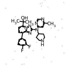 Cc1cc(N(c2nc3c(-c4ccc(F)c(F)c4)ccc(C(C)(C)O)n3n2)C2CCNCC2)ncn1